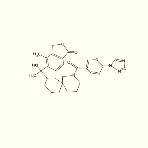 Cc1c(C(C)(O)N2CCCC3(CCCN(C(=O)c4ccc(-n5cnnn5)nc4)C3)C2)ccc2c1COC2=O